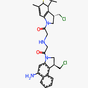 CC1=CC2=C(C3C(C)=CSC13)[C@H](CCl)CN2C(=O)CNCC(=O)N1C[C@@H](CCl)c2c1cc(N)c1ccccc21